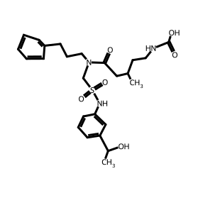 CC(CCNC(=O)O)CC(=O)N(CCCc1ccccc1)CS(=O)(=O)Nc1cccc(C(C)O)c1